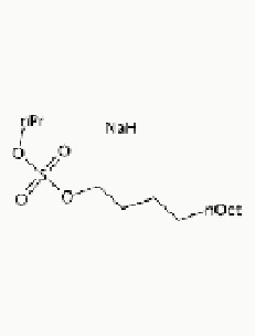 CCCCCCCCCCCCOS(=O)(=O)OCCC.[NaH]